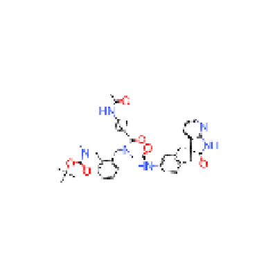 CC(=O)NC12CC(C(=O)N(CC(=O)Nc3ccc4c(c3)C[C@@]3(C4)C(=O)Nc4ncccc43)Cc3ccccc3CN(C)C(=O)OC(C)(C)C)(C1)C2